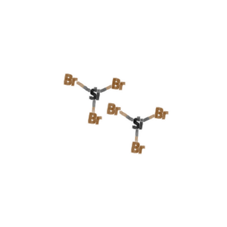 Br[Si](Br)Br.Br[Si](Br)Br